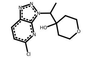 CC(n1nnc2ccc(Cl)nc21)C1(O)CCOCC1